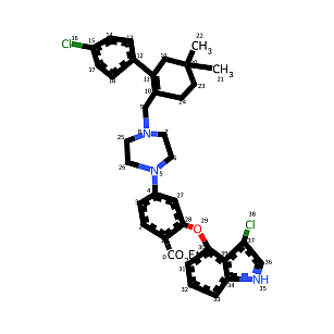 CCOC(=O)c1ccc(N2CCN(CC3=C(c4ccc(Cl)cc4)CC(C)(C)CC3)CC2)cc1Oc1cccc2[nH]cc(Cl)c12